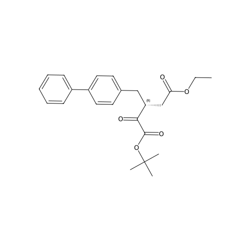 CCOC(=O)C[C@@H](Cc1ccc(-c2ccccc2)cc1)C(=O)C(=O)OC(C)(C)C